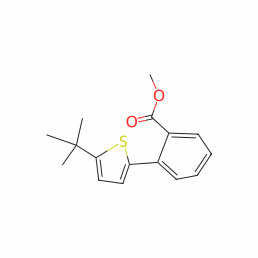 COC(=O)c1ccccc1-c1ccc(C(C)(C)C)s1